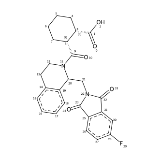 O=C(O)[C@H]1CCCC[C@H]1C(=O)N1CCc2ccccc2C1CN1C(=O)c2ccc(F)cc2C1=O